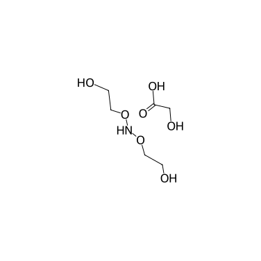 O=C(O)CO.OCCONOCCO